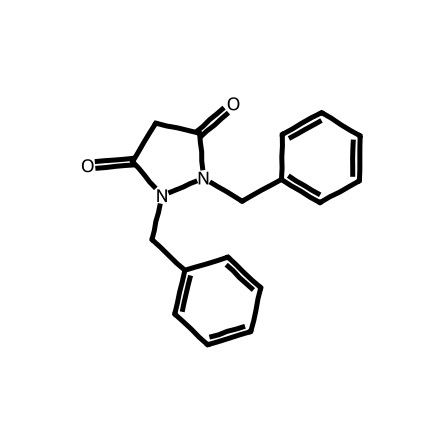 O=C1CC(=O)N(Cc2ccccc2)N1Cc1ccccc1